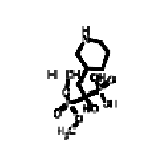 COP(=O)(OC)C(O)(CC1CCCNC1)P(=O)(O)O.I